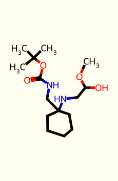 COC(O)CNC1(CNC(=O)OC(C)(C)C)CCCCC1